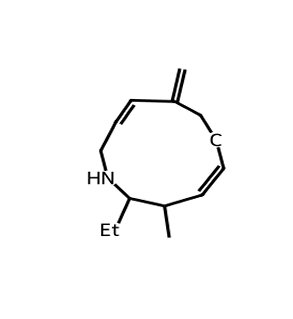 C=C1/C=C\CNC(CC)C(C)/C=C\CC1